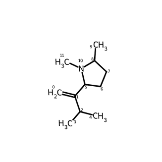 C=C(C(C)C)C1CCC(C)N1C